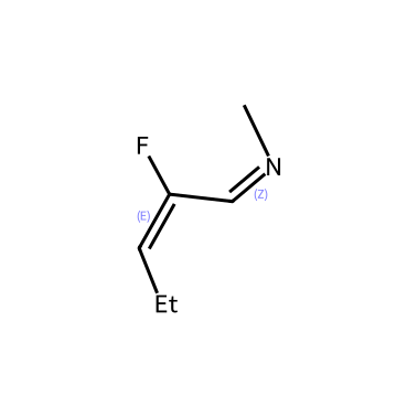 CC/C=C(F)\C=N/C